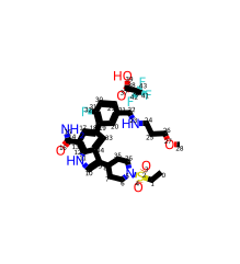 CCS(=O)(=O)N1CCC(c2c[nH]c3c(C(N)=O)cc(-c4cc(CNCCCOC)ccc4F)cc23)CC1.O=C(O)C(F)(F)F